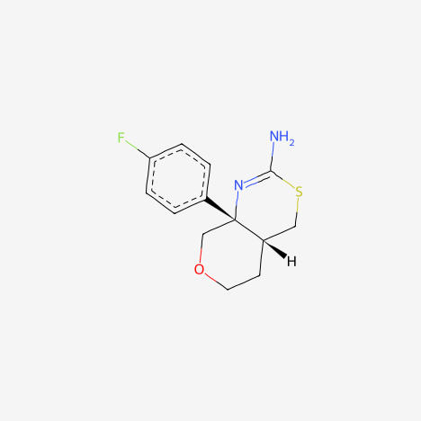 NC1=N[C@@]2(c3ccc(F)cc3)COCC[C@H]2CS1